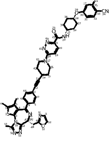 Cc1sc2c(c1C)C(c1ccc(C#CC3CCN(c4ccc(C(=O)N[C@H]5CC[C@H](Oc6ccc(C#N)c(Cl)c6)CC5)nn4)CC3)cc1)=N[C@H](Cc1ncco1)c1nnc(C)n1-2